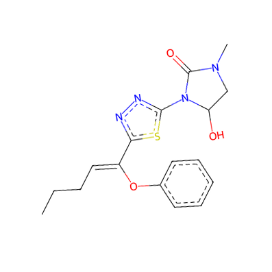 CCC/C=C(\Oc1ccccc1)c1nnc(N2C(=O)N(C)CC2O)s1